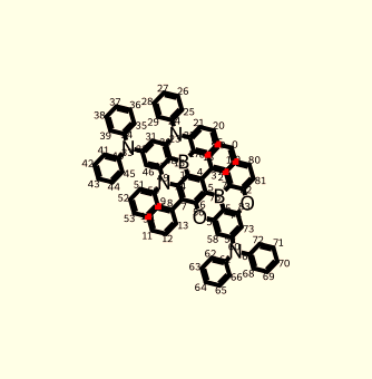 c1ccc(-c2c3c(c(-c4ccccc4)c4c2B2c5ccccc5N(c5ccccc5)c5cc(N(c6ccccc6)c6ccccc6)cc(c52)N4c2ccccc2)Oc2cc(N(c4ccccc4)c4ccccc4)cc4c2B3c2ccccc2O4)cc1